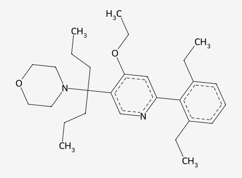 CCCC(CCC)(c1cnc(-c2c(CC)cccc2CC)cc1OCC)N1CCOCC1